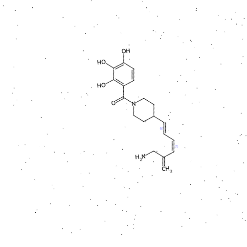 C=C(/C=C\C=C\C1CCN(C(=O)c2ccc(O)c(O)c2O)CC1)CN